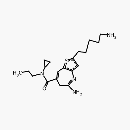 CCCN(C(=O)C1=Cc2sc(CCCCCN)cc2N=C(N)C1)C1CC1